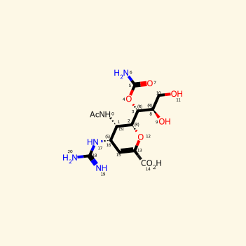 CC(=O)N[C@@H]1[C@H]([C@H](OC(N)=O)[C@H](O)CO)OC(C(=O)O)=C[C@@H]1NC(=N)N